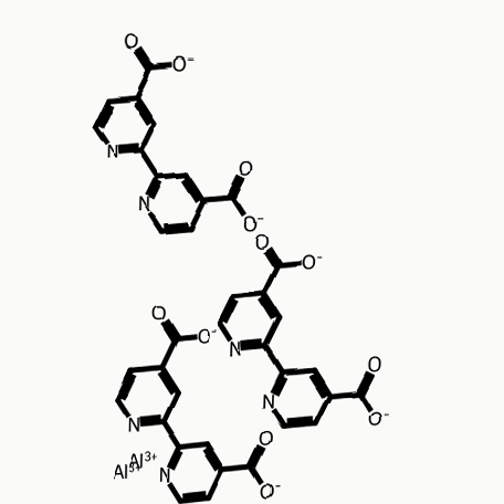 O=C([O-])c1ccnc(-c2cc(C(=O)[O-])ccn2)c1.O=C([O-])c1ccnc(-c2cc(C(=O)[O-])ccn2)c1.O=C([O-])c1ccnc(-c2cc(C(=O)[O-])ccn2)c1.[Al+3].[Al+3]